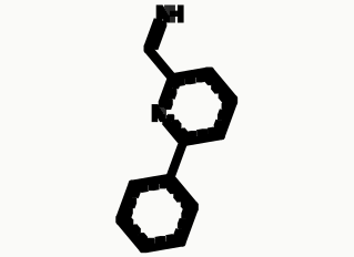 N=Cc1cccc(-c2ccccc2)n1